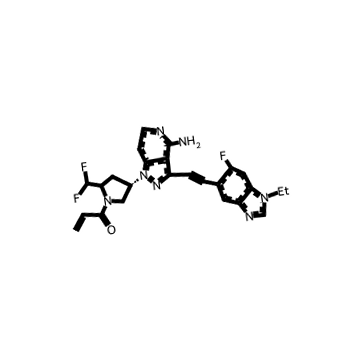 C=CC(=O)N1C[C@@H](n2nc(C#Cc3cc4ncn(CC)c4cc3F)c3c(N)nccc32)CC1C(F)F